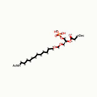 CCCCCCCCCCCC(=O)O[C@@H](COCOCCCCCCCCCCCCNC(C)=O)COP(=O)(O)O